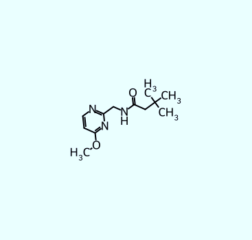 COc1ccnc(CNC(=O)CC(C)(C)C)n1